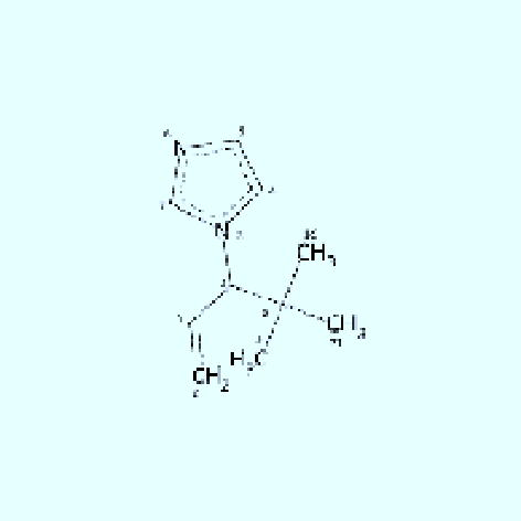 C=CC(n1ccnc1)C(C)(C)C